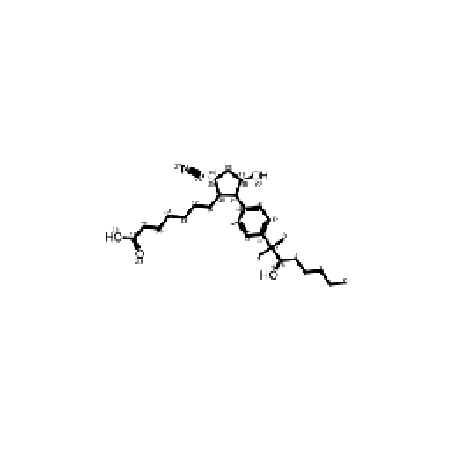 CCCCCC(O)C(C)(C)c1ccc(C2C(CCCCCCC(=O)O)[C@H](C#N)C[C@H]2O)cc1